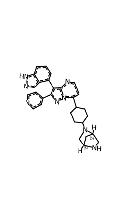 c1cc(-c2c(-c3ccncc3)nn3c(C4CCC(N5C[C@@H]6C[C@H]5CN6)CC4)ccnc23)c2cn[nH]c2c1